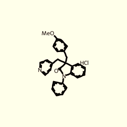 COc1ccc(CC2(Cc3ccncc3)C(=O)N(c3ccccc3)c3ccccc32)cc1.Cl